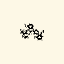 COc1cccc2c1n(Cc1nccnc1C(F)(F)F)c(=O)n2C1CCN(c2c(F)cccc2C#N)C1